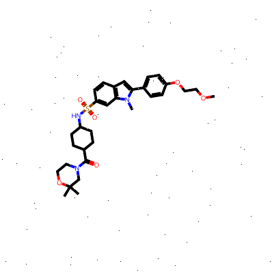 COCCOc1ccc(-c2cc3ccc(S(=O)(=O)NC4CCC(C(=O)N5CCOC(C)(C)C5)CC4)cc3n2C)cc1